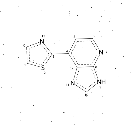 c1csc(-c2ccnc3[nH]cnc23)n1